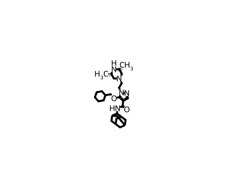 C[C@@H]1CN(CCn2ncc(C(=O)NC3C4CC5CC(C4)CC3C5)c2OCC2CCCCC2)C[C@H](C)N1